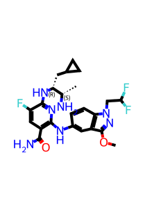 COc1nn(CC(F)F)c2ccc(Nc3nc(N[C@H](CC4CC4)[C@H](C)N)c(F)cc3C(N)=O)cc12